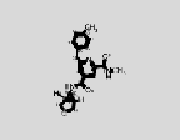 CNC(=O)c1cc(C(=O)N[C@H]2[C@@H]3COC[C@@H]32)cc(Cc2ccc(C)cc2)n1